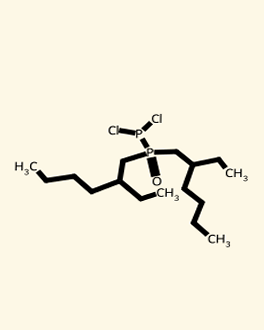 CCCCC(CC)CP(=O)(CC(CC)CCCC)P(Cl)Cl